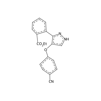 CCOC(=O)c1ccccc1-c1n[nH]cc1Oc1ccc(C#N)cc1